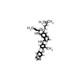 CC#CC(=O)Nc1cc2c(Nc3ccc(Oc4ccn5ncnc5c4)c(C)c3)ncnc2cc1OCCCN(C)C